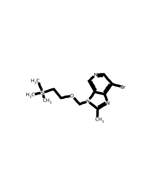 Cc1nc2c(Br)cncc2n1COCC[Si](C)(C)C